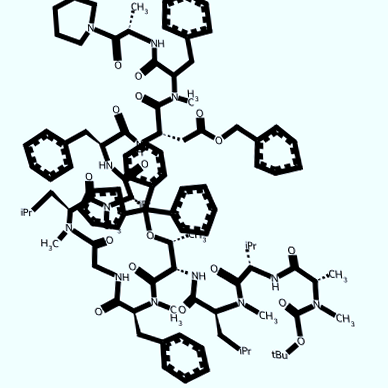 CC(C)C[C@@H](C(=O)N(C)[C@H](C(=O)N[C@@H](Cc1ccccc1)C(=O)N[C@@H](CC(=O)OCc1ccccc1)C(=O)N(C)C(Cc1ccccc1)C(=O)N[C@@H](C)C(=O)N1CCCCC1)C(C)C)N(C)C(=O)CNC(=O)[C@H](Cc1ccccc1)N(C)C(=O)[C@@H](NC(=O)[C@H](CC(C)C)N(C)C(=O)[C@@H](NC(=O)[C@H](C)N(C)C(=O)OC(C)(C)C)C(C)C)[C@@H](C)OC(c1ccccc1)(c1ccccc1)c1ccccc1